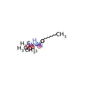 CCCCCCCCCCc1ccc(-c2noc(CNC(=O)CN(C)C(=O)OC(C)(C)C)n2)cc1